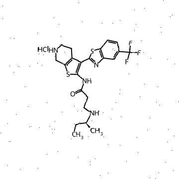 CC[C@H](C)NCCC(=O)Nc1sc2c(c1-c1nc3cc(C(F)(F)F)ccc3s1)CCNC2.Cl